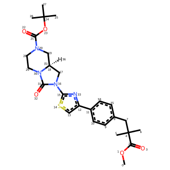 COC(=O)C(C)(C)Cc1ccc(-c2csc(N3C[C@@H]4CN(C(=O)OC(C)(C)C)CCN4C3=O)n2)cc1